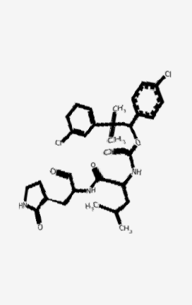 CC(C)CC(NC(=O)OC(c1ccc(Cl)cc1)C(C)(C)C1=CCCC(Cl)=C1)C(=O)NC(C=O)C[C@@H]1CCNC1=O